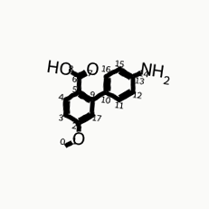 COc1ccc(C(=O)O)c(-c2ccc(N)cc2)c1